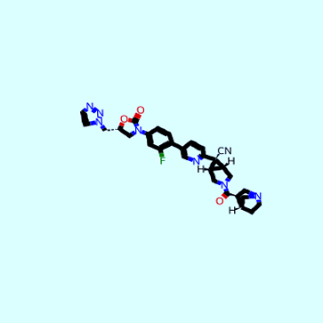 N#C[C@]1(c2ccc(-c3ccc(N4C[C@H](Cn5ccnn5)OC4=O)cc3F)cn2)[C@@H]2CN(C(=O)[C@H]3CN4CC[C@@H]3C4)C[C@@H]21